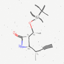 C#C[C@H](C)[C@H]1NC(=O)[C@@H]1[C@@H](C)O[Si](C)(C)C(C)(C)C